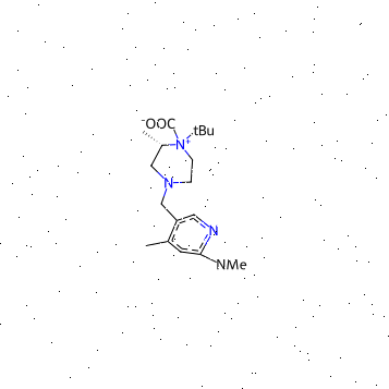 CNc1cc(C)c(CN2CC[N+](C(=O)[O-])(C(C)(C)C)[C@@H](C)C2)cn1